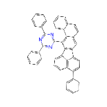 c1ccc(-c2nc(-c3ccccc3)nc(-c3c4c(cc5ccc6ccccc6c35)-c3ccc(-c5ccccc5)c5cccc-4c35)n2)cc1